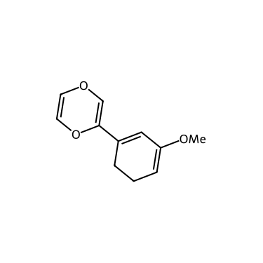 COC1=CCCC(C2=COC=CO2)=C1